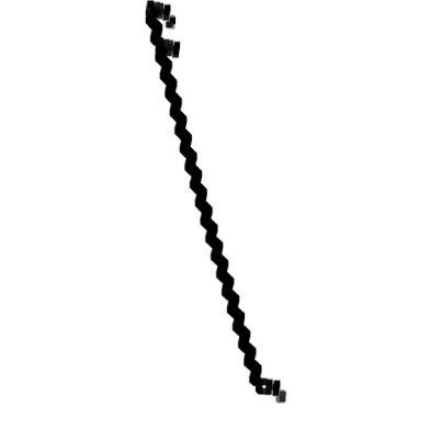 CCCCCCCCCCCCCCCCCCCCCCCCCCCCCCCCCCCCCCNCCCN